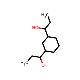 CCC(O)C1CCCC(C(O)CC)C1